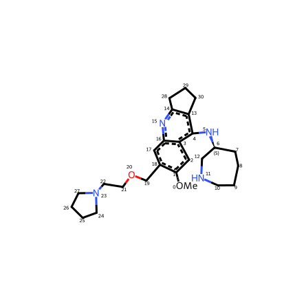 COc1cc2c(N[C@H]3CCCCNC3)c3c(nc2cc1COCCN1CCCC1)CCC3